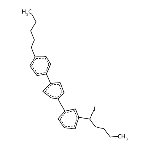 CCCCCc1ccc(-c2ccc(-c3cccc(C(I)CCCC)c3)cc2)cc1